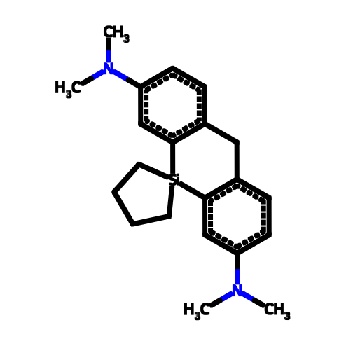 CN(C)c1ccc2c(c1)[Si]1(CCCC1)c1cc(N(C)C)ccc1C2